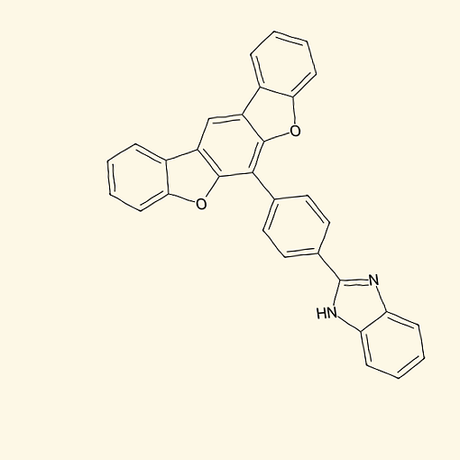 c1ccc2[nH]c(-c3ccc(-c4c5oc6ccccc6c5cc5c4oc4ccccc45)cc3)nc2c1